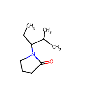 CCC(C(C)C)N1CCCC1=O